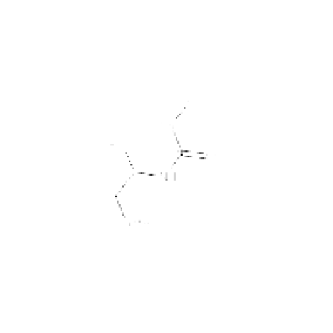 COCC(NC(=O)SS)C(F)(F)F